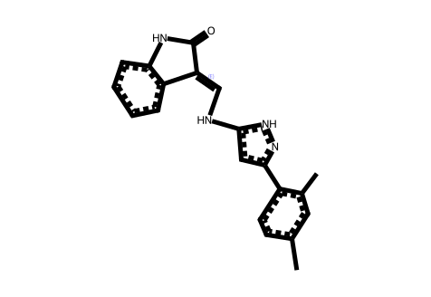 Cc1ccc(-c2cc(N/C=C3/C(=O)Nc4ccccc43)[nH]n2)c(C)c1